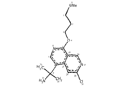 CSCCCOc1ncc(C(C)(C)N)c2cc(Cl)ncc12